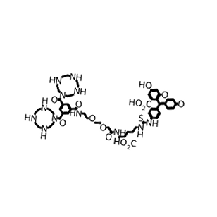 O=C(COCCOCCNC(=O)c1cc(C(=O)N2CCNCCNCCNCC2)cc(C(=O)N2CCNCCNCCNCC2)c1)NC(CCCCNC(=S)Nc1ccc(-c2c3ccc(=O)cc-3oc3cc(O)ccc23)c(C(=O)O)c1)C(=O)O